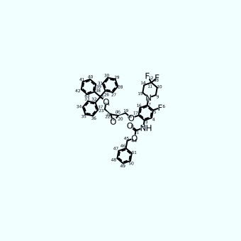 O=C(Nc1cc(F)c(N2CCC(F)(F)CC2)cc1OC[C@H]1O[C@H]1COC(c1ccccc1)(c1ccccc1)c1ccccc1)OCc1ccccc1